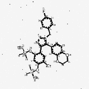 CCc1cc(-c2nnn(Cc3ccc(F)cc3)c2-c2ccc3c(c2)OCCO3)c(O[Si](C)(C)C(C)(C)C)cc1O[Si](C)(C)C(C)(C)C